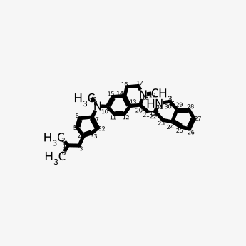 CC(C)Cc1ccc(N(C)c2ccc3c(c2)CCN(C)C3C[C@@H]2Cc3ccccc3[CH]N2)cc1